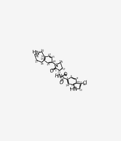 O=C1[C@@H](NS(=O)(=O)c2ccc3c(Cl)c[nH]c3c2)CCN1c1ccc2c(c1)CCCNC2